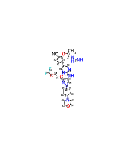 C[C@@H](CNC=N)Oc1cc(-c2cnc(Nc3cn(C4CCC(N5CCOCC5)CC4)nc3OCCOC(F)F)nc2)ccc1C#N